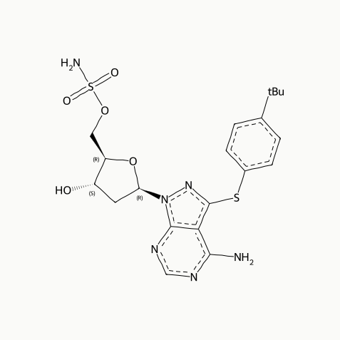 CC(C)(C)c1ccc(Sc2nn([C@H]3C[C@H](O)[C@@H](COS(N)(=O)=O)O3)c3ncnc(N)c23)cc1